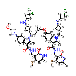 COC1CN(c2ccc3c(C(=O)NCc4c(SC)cc(C)[nH]c4=O)c(C)n([C@H](CC4CC4Oc4ccc5c(C(=O)NCc6c(SC)cc(C)[nH]c6=O)c(C)n([C@H](C)C6CC(NC7CC(F)(F)C7)C6)c5c4)C4CC(NC5CC(F)(F)C5)C4)c3c2)C1